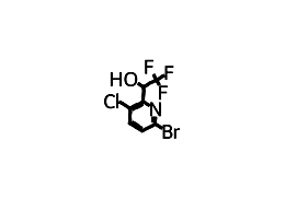 OC(c1nc(Br)ccc1Cl)C(F)(F)F